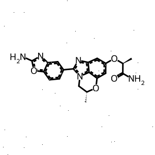 C[C@@H]1Cn2c(-c3ccc4oc(N)nc4c3)nc3cc(O[C@@H](C)C(N)=O)cc(c32)O1